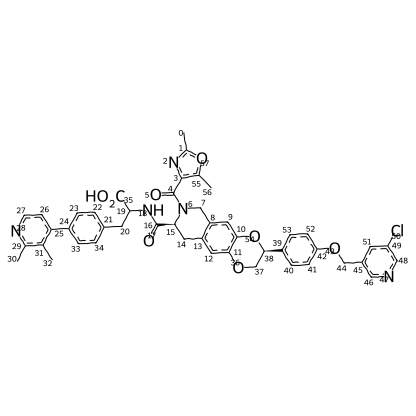 Cc1nc(C(=O)N2Cc3cc4c(cc3C[C@H]2C(=O)NC(Cc2ccc(-c3ccnc(C)c3C)cc2)C(=O)O)OC[C@H](c2ccc(OCc3cncc(Cl)c3)cc2)O4)c(C)o1